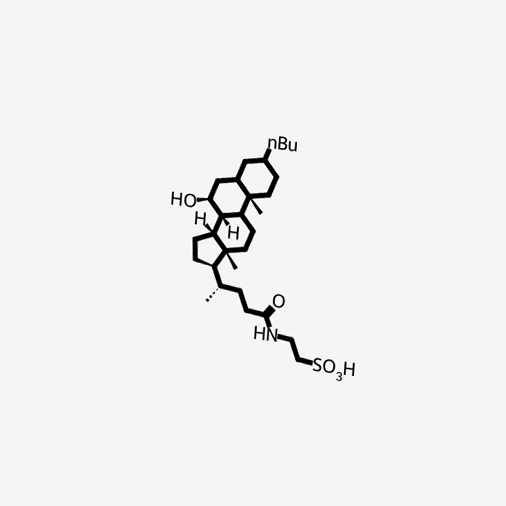 CCCCC1CC[C@@]2(C)C(C1)C[C@H](O)[C@@H]1C2CC[C@@]2(C)[C@@H]1CC[C@@H]2[C@@H](C)CCC(=O)NCCS(=O)(=O)O